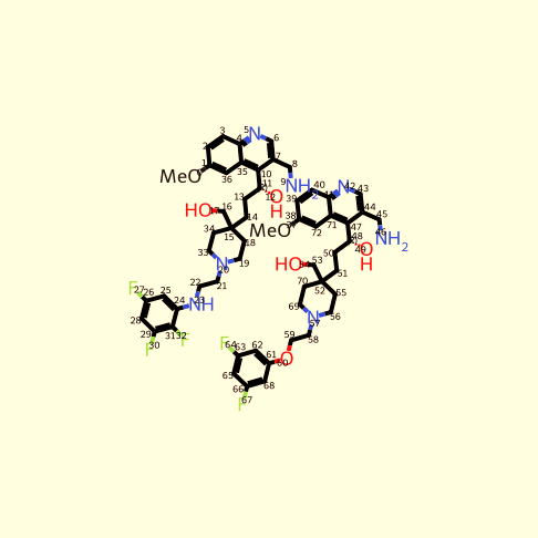 COc1ccc2ncc(CN)c([C@H](O)CCC3(CO)CCN(CCNc4cc(F)cc(F)c4F)CC3)c2c1.COc1ccc2ncc(CN)c([C@H](O)CCC3(CO)CCN(CCOc4cc(F)cc(F)c4)CC3)c2c1